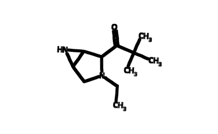 CCN1CC2NC2C1C(=O)C(C)(C)C